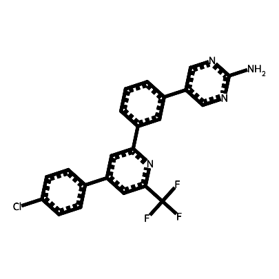 Nc1ncc(-c2cccc(-c3cc(-c4ccc(Cl)cc4)cc(C(F)(F)F)n3)c2)cn1